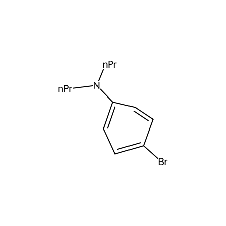 CCCN(CCC)c1ccc(Br)cc1